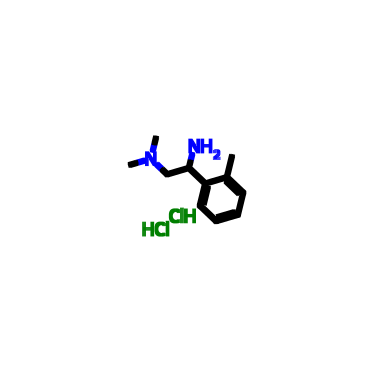 Cc1ccccc1C(N)CN(C)C.Cl.Cl